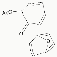 CC(=O)On1ccccc1=O.c1cc2ccc1o2